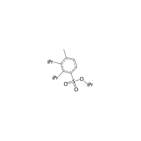 Cc1ccc(S(=O)(=O)OC(C)C)c(C(C)C)c1C(C)C